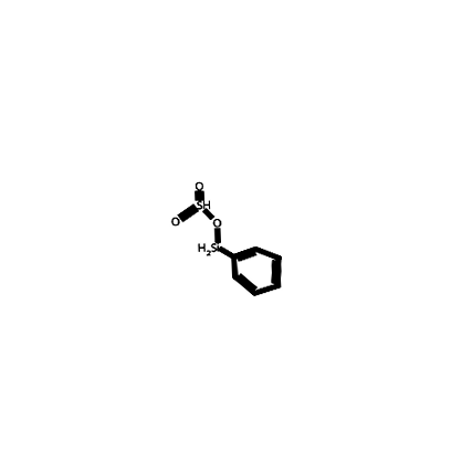 O=[SH](=O)O[SiH2]c1ccccc1